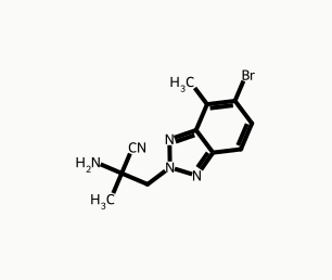 Cc1c(Br)ccc2nn(CC(C)(N)C#N)nc12